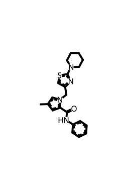 Cc1cc(C(=O)Nc2ccccc2)n(Cc2csc(N3CCCCC3)n2)c1